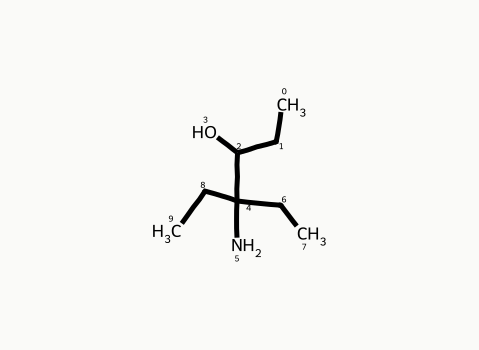 CCC(O)C(N)(CC)CC